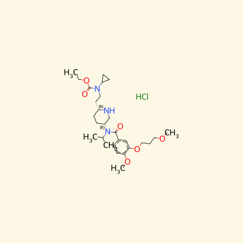 CCOC(=O)N(CC[C@H]1CC[C@@H](N(C(=O)c2ccc(OC)c(OCCCOC)c2)C(C)C)CN1)C1CC1.Cl